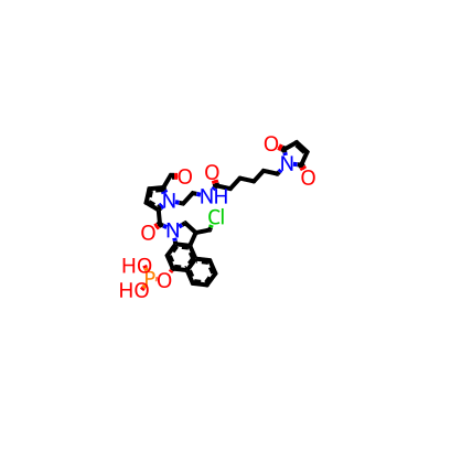 O=Cc1ccc(C(=O)N2CC(CCl)c3c2cc(OP(O)O)c2ccccc32)n1CCNC(=O)CCCCCN1C(=O)C=CC1=O